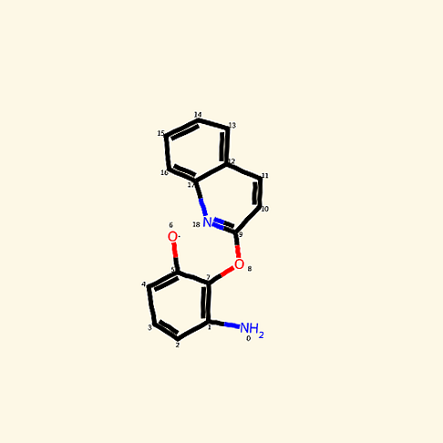 Nc1cccc([O])c1Oc1ccc2ccccc2n1